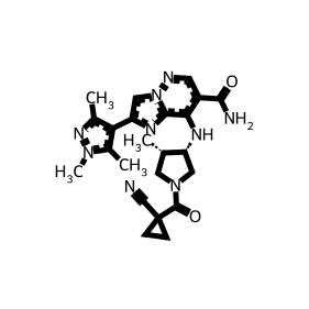 Cc1nn(C)c(C)c1-c1cn2ncc(C(N)=O)c(N[C@@H]3CN(C(=O)C4(C#N)CC4)C[C@@H]3C)c2n1